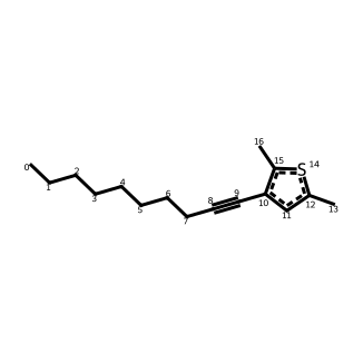 CCCCCCCCC#Cc1cc(C)sc1C